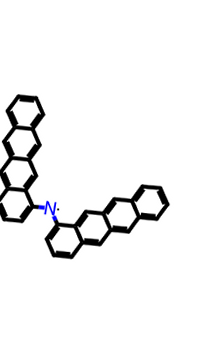 c1ccc2cc3cc4c([N]c5cccc6cc7cc8ccccc8cc7cc56)cccc4cc3cc2c1